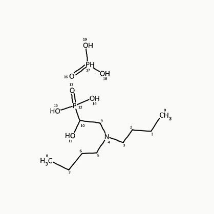 CCCCN(CCCC)CC(O)P(=O)(O)O.O=[PH](O)O